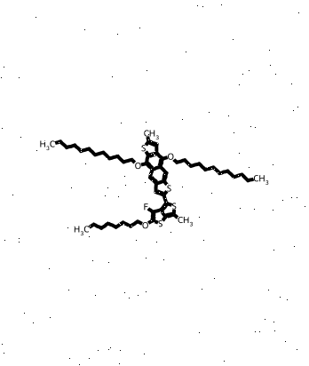 CCCCCCCCCCCCOc1c2cc3sc(-c4sc(C)c5sc(OCCCCCCCC)c(F)c45)cc3cc2c(OCCCCCCCCCCCC)c2sc(C)cc12